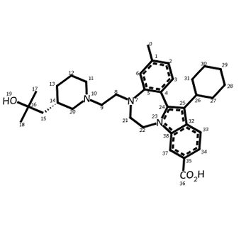 Cc1ccc2c(c1)N(CCN1CCC[C@@H](CC(C)(C)O)C1)CCn1c-2c(C2CCCCC2)c2ccc(C(=O)O)cc21